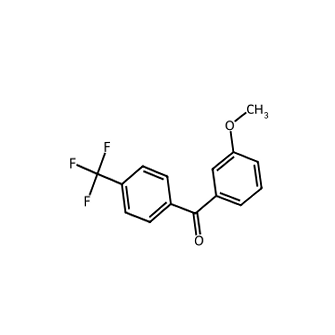 COc1cccc(C(=O)c2ccc(C(F)(F)F)cc2)c1